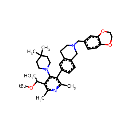 Cc1nc(C)c(C(OC(C)(C)C)C(=O)O)c(N2CCC(C)(C)CC2)c1-c1ccc2c(c1)CCN(Cc1ccc3c(c1)OCCO3)C2